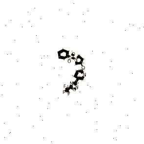 O=S(=O)(c1ccccc1)N1CC[C@@H](Oc2ccc(-c3noc(C(F)(F)F)n3)cn2)C1